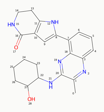 Cc1nc2cccc(-c3cc4c([nH]3)CCNC4=O)c2nc1NC1CCCCC1O